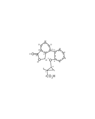 CC1(C(=O)O)CC1Oc1ccccc1-c1cccc2c1COC2=O